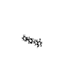 Ic1ccc(I)c2sc(-c3ccc(-c4ccccc4)cc3)nc12